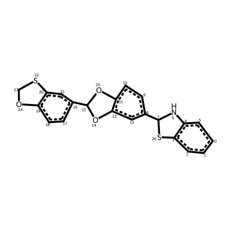 c1ccc2c(c1)NC(c1ccc3c(c1)OC(c1ccc4c(c1)SCO4)O3)S2